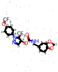 O=C(NCc1ccc2c(c1)OCO2)Oc1cnn(-c2ccc(OC(F)(F)F)cc2)c1C(F)(F)F